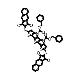 O=C(OCc1ccccc1)n1c2cc(N=c3c(=O)c4cc5ccccc5cc4c3=O)sc2c2sc3c4sc(N=c5c(=O)c6cc7ccccc7cc6c5=O)cc4n(C(=O)OCc4ccccc4)c3c21